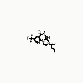 CCCC(=O)N1CCN2c3ncc(C(F)(F)F)cc3C(=O)N(C)C[C@@H]2C1